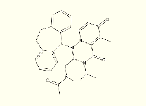 CC(=O)N(C)CC1N(C(C)C)C(=O)c2c(C)c(=O)ccn2N1C1c2ccccc2CCc2ccccc21